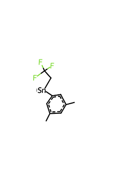 Cc1cc(C)c[c]([Sn][CH2]C(F)(F)F)c1